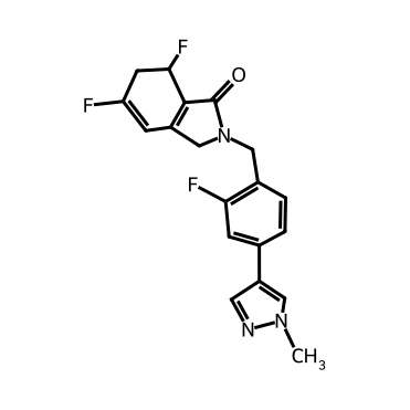 Cn1cc(-c2ccc(CN3CC4=C(C3=O)C(F)CC(F)=C4)c(F)c2)cn1